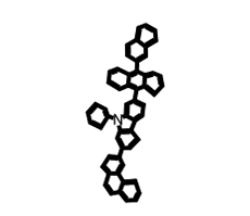 c1ccc(-n2c3cc(-c4ccc5ccc6ccccc6c5c4)ccc3c3ccc(-c4c5ccccc5c(-c5ccc6ccccc6c5)c5ccccc45)cc32)cc1